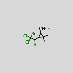 CC1(C)C([C]=O)C1C(Br)C(Cl)(Cl)Br